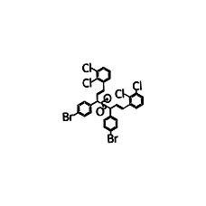 O=S(=O)(C(C=Cc1cccc(Cl)c1Cl)c1ccc(Br)cc1)C(C=Cc1cccc(Cl)c1Cl)c1ccc(Br)cc1